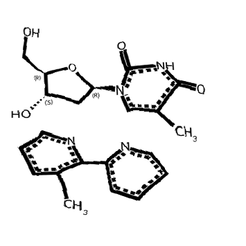 Cc1cccnc1-c1ccccn1.Cc1cn([C@H]2C[C@H](O)[C@@H](CO)O2)c(=O)[nH]c1=O